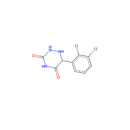 O=C1NNC(c2cccc(Cl)c2Cl)C(=O)N1